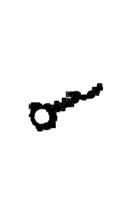 CO[C@H]1C[C@@H]2CC[C@@H](C)[C@@](O)(O2)C(=O)C(=O)N2CCCC[C@H]2C(=O)O[C@H]([C@H](N)C[C@@H]2CC[C@@H](OC(=O)NCc3cnc(N4CCN(C(=O)CCOCCN5CCN(c6ncc(C(C)=O)cn6)CC5)[C@@H](C(=O)O)C4)nc3)[C@H](OC)C2)CC(=O)[C@H](C)/C=C(\C)[C@@H](O)[C@@H](O)C(=O)[C@H](C)C[C@H](C)/C=C/C=C/C=C/1C